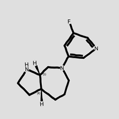 Fc1cncc(N2CCC[C@@H]3CCN[C@@H]3C2)c1